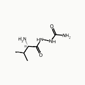 CC(C)[C@H](N)C(=O)NNC(N)=O